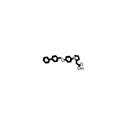 O=C(O)CC1CCCN1c1ccc(OCc2ccc(-c3ccccc3)cc2)cc1